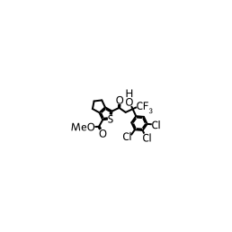 COC(=O)c1sc(C(=O)CC(O)(c2cc(Cl)c(Cl)c(Cl)c2)C(F)(F)F)c2c1CCC2